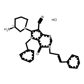 Cl.N#Cc1c(N2CCC[C@H](N)C2)n(Cc2ccccc2)c2c(=O)n(CC=Cc3ccccc3)cnc12